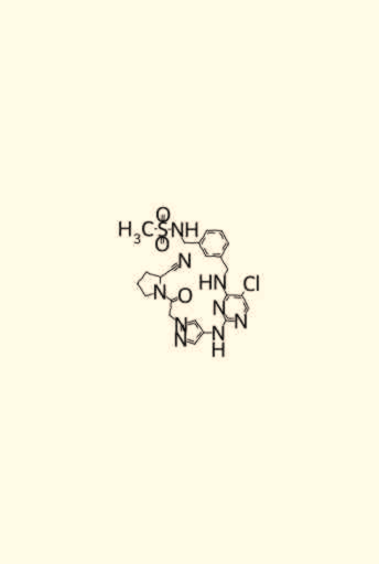 CS(=O)(=O)NCc1cccc(CNc2nc(Nc3cnn(CC(=O)N4CCCC4C#N)c3)ncc2Cl)c1